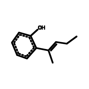 CCC=C(C)c1ccccc1O